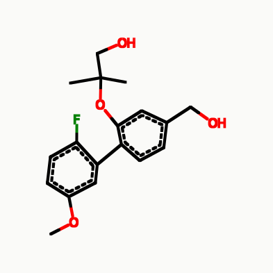 COc1ccc(F)c(-c2ccc(CO)cc2OC(C)(C)CO)c1